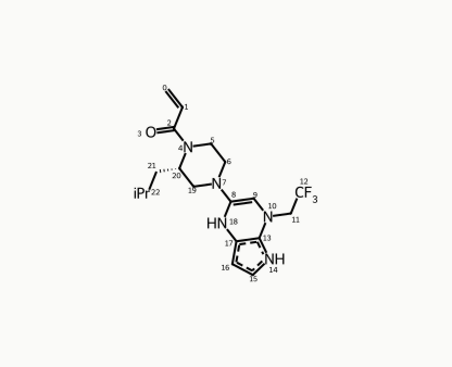 C=CC(=O)N1CCN(C2=CN(CC(F)(F)F)c3[nH]ccc3N2)C[C@@H]1CC(C)C